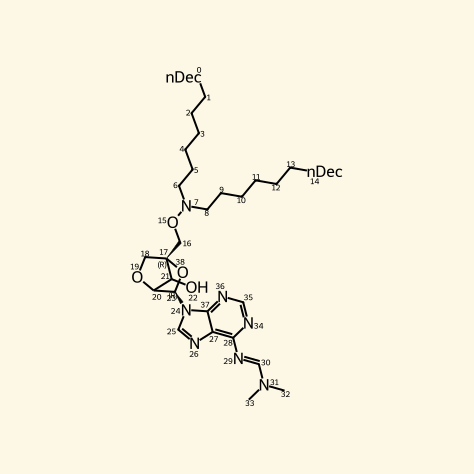 CCCCCCCCCCCCCCCCN(CCCCCCCCCCCCCCCC)OC[C@]12COC(C1O)[C@H](n1cnc3c(N=CN(C)C)ncnc31)O2